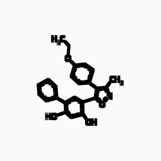 CCOc1ccc(-c2c(C)noc2-c2cc(-c3ccccc3)c(O)cc2O)cc1